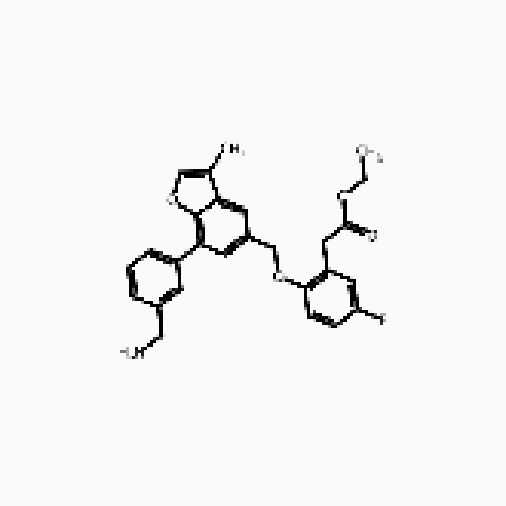 CCOC(=O)Cc1cc(F)ccc1OCc1cc(-c2cccc(CN)c2)c2occ(C)c2c1